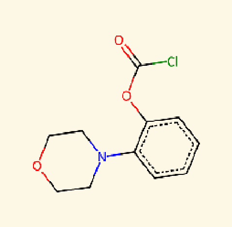 O=C(Cl)Oc1ccccc1N1CCOCC1